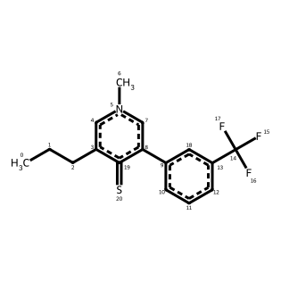 CCCc1cn(C)cc(-c2cccc(C(F)(F)F)c2)c1=S